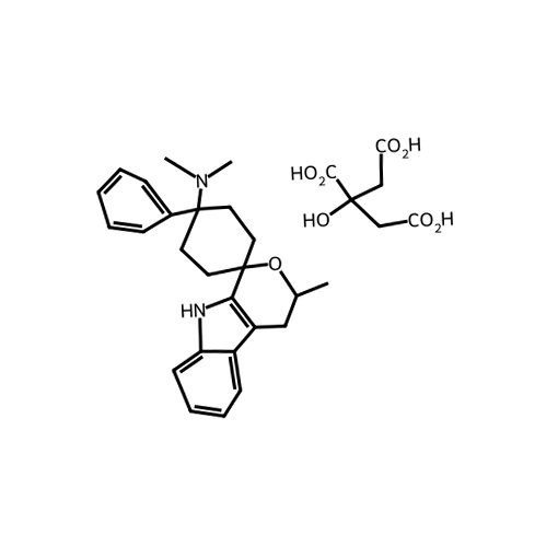 CC1Cc2c([nH]c3ccccc23)C2(CCC(c3ccccc3)(N(C)C)CC2)O1.O=C(O)CC(O)(CC(=O)O)C(=O)O